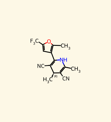 CC1=C(C#N)[C@@H](C)C(C#N)=C(c2cc(C(F)(F)F)oc2C)N1